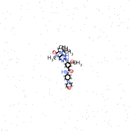 CC[C@@H]1C(=O)N(C)c2cnc(Nc3ccc(C(=O)N[C@H]4CC[C@H](N5CCOCC5)CC4)cc3OC)nc2N1C(C)C